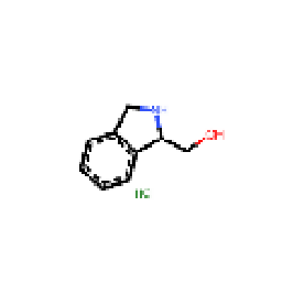 Cl.OCC1NCc2ccccc21